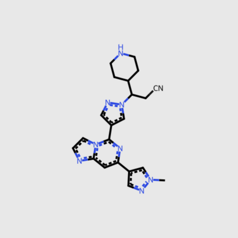 Cn1cc(-c2cc3nccn3c(-c3cnn(C(CC#N)C4CCNCC4)c3)n2)cn1